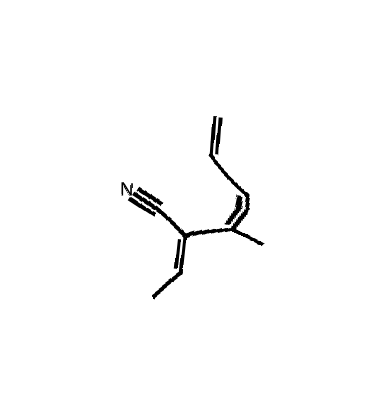 C=C/C=C(C)\C(C#N)=C\C